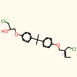 C/C=C(\CCl)COc1ccc(C(C)(C)c2ccc(OCC(O)CCl)cc2)cc1